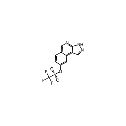 O=S(=O)(Oc1ccc2cnc3[nH]ncc3c2c1)C(F)(F)F